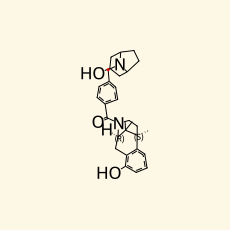 CC1(C)[C@H]2Cc3c(O)cccc3[C@]1(C)CCN2C(=O)c1ccc(CN2C3CCC2CC(O)C3)cc1